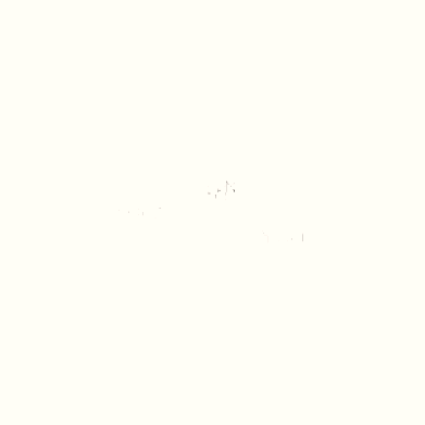 CCCCCCCCC=CCCCCCCCCOC(CN(C)C)OCCCCCCCCC=CCCCCCCCC